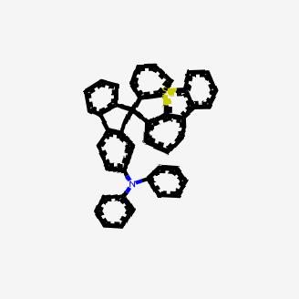 c1ccc(N(c2ccccc2)c2ccc3c(c2)C(c2ccccc2)(c2cccc4c2sc2ccccc24)c2ccccc2-3)cc1